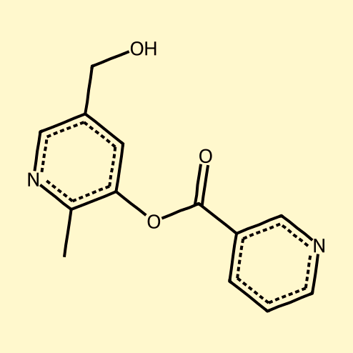 Cc1ncc(CO)cc1OC(=O)c1cccnc1